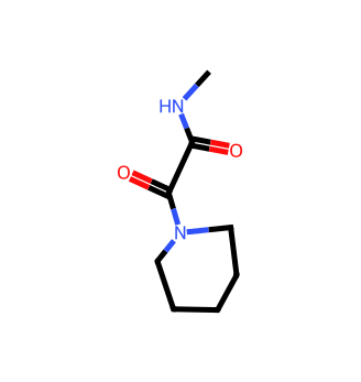 CNC(=O)C(=O)N1CCCCC1